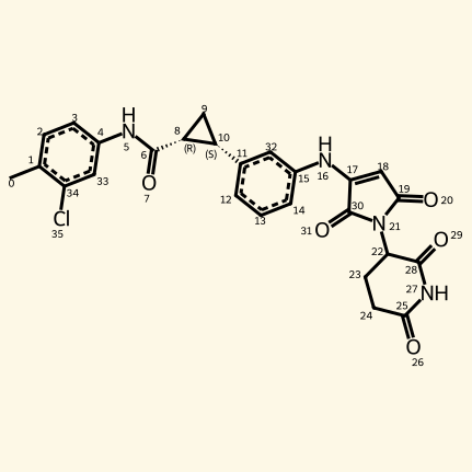 Cc1ccc(NC(=O)[C@@H]2C[C@@H]2c2cccc(NC3=CC(=O)N(C4CCC(=O)NC4=O)C3=O)c2)cc1Cl